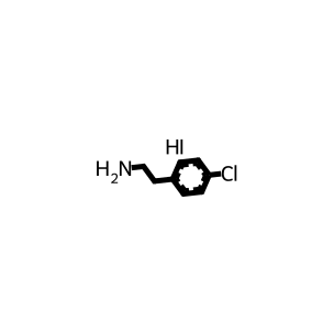 I.NCCc1ccc(Cl)cc1